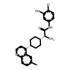 CC(C(=O)Nc1ccc(Cl)c(O)c1)[C@H]1CC[C@@H](c2ccnc3ccc(F)cc32)CC1